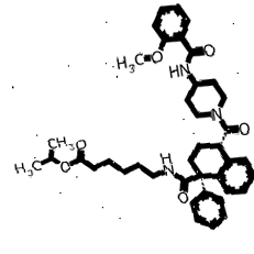 COc1ccccc1C(=O)NC1CCN(C(=O)[C@H]2CC[C@@](C(=O)NCCCCCC(=O)OC(C)C)(c3ccccc3)c3ccccc32)CC1